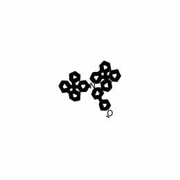 COc1ccc(-c2ccc(N(c3ccc(C4(c5ccccc5)c5ccccc5-c5ccccc54)cc3)c3ccc4c(c3)C(c3ccccc3)(c3ccccc3)c3ccccc3-4)cc2)cc1